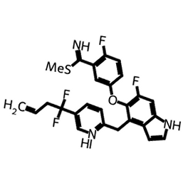 C=CCC(F)(F)c1ccc(Cc2c(Oc3ccc(F)c(C(=N)SC)c3)c(F)cc3[nH]ccc23)nc1.I